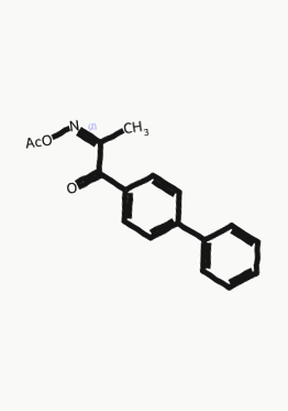 CC(=O)O/N=C(/C)C(=O)c1ccc(-c2ccccc2)cc1